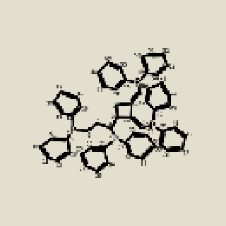 C(=C1CC(C(CCP(c2ccccc2)c2ccccc2)P(c2ccccc2)c2ccccc2)C1=CP(c1ccccc1)c1ccccc1)P(c1ccccc1)c1ccccc1